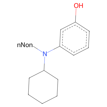 CCCCCCCCCN(c1cccc(O)c1)C1CCCCC1